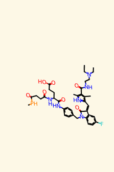 CCN(CC)CCNC(=O)c1c(C)[nH]c(/C=C2\C(=O)N(Cc3ccc(NC(=O)C(CCC(=O)O)NC(=O)CCC(=O)PC)cc3)c3ccc(F)cc32)c1C